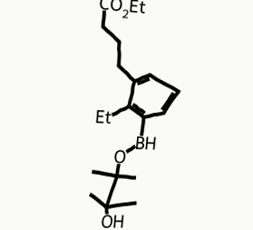 CCOC(=O)CCCc1cccc(BOC(C)(C)C(C)(C)O)c1CC